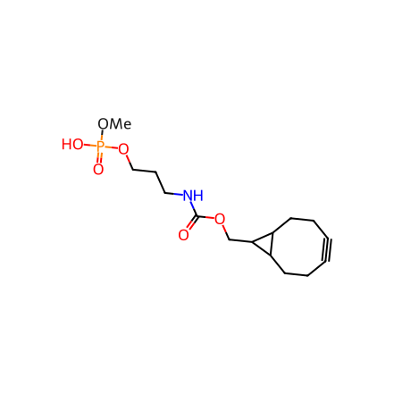 COP(=O)(O)OCCCNC(=O)OCC1C2CCC#CCCC21